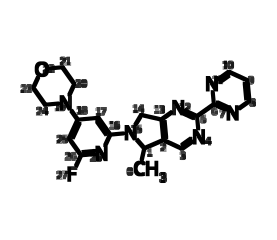 CC1c2cnc(-c3ncccn3)nc2CN1c1cc(N2CCOCC2)cc(F)n1